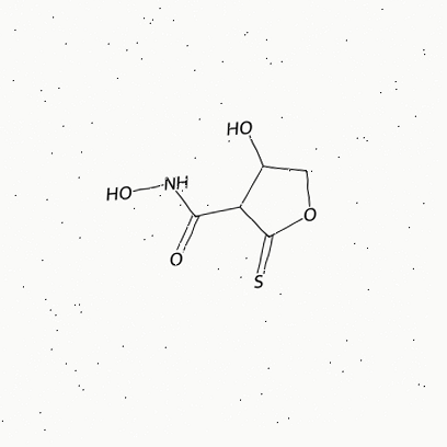 O=C(NO)C1C(=S)OCC1O